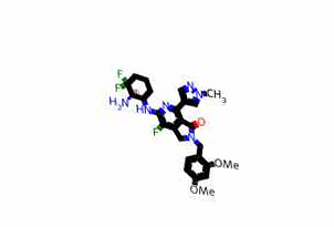 COc1ccc(CN2Cc3c(F)c(NC4CCCC(F)(F)[C@@H]4N)nc(-c4cnn(C)c4)c3C2=O)c(OC)c1